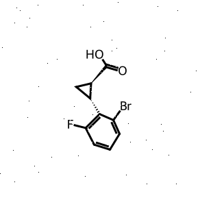 O=C(O)[C@@H]1C[C@H]1c1c(F)cccc1Br